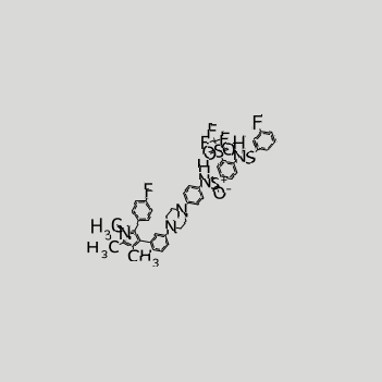 Cc1c(-c2cccc(N3CCN(c4ccc(N[S+]([O-])c5ccc(NSc6cccc(F)c6)c(S(=O)(=O)C(F)(F)F)c5)cc4)CC3)c2)c(-c2ccc(F)cc2)n(C)c1C